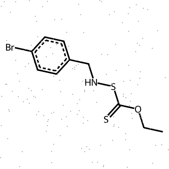 CCOC(=S)SNCc1ccc(Br)cc1